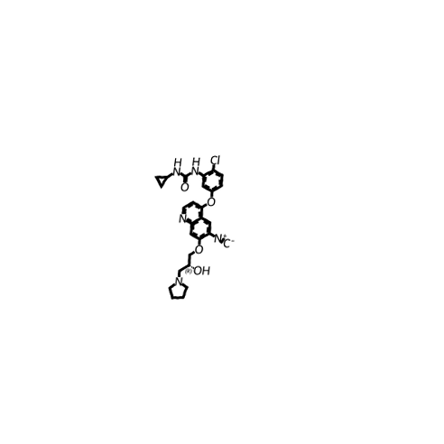 [C-]#[N+]c1cc2c(Oc3ccc(Cl)c(NC(=O)NC4CC4)c3)ccnc2cc1OC[C@H](O)CN1CCCC1